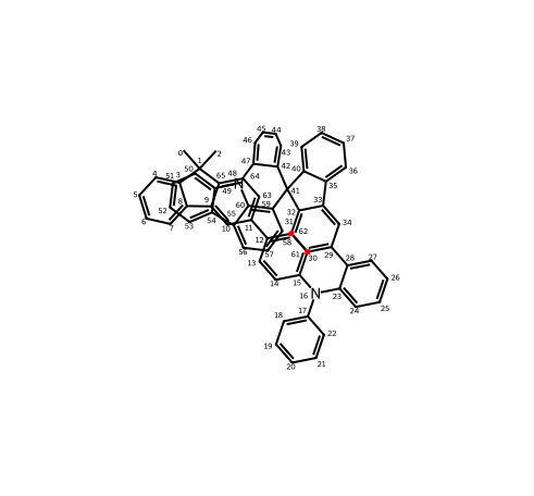 CC1(C)c2ccccc2-c2cc(-c3ccc(N(c4ccccc4)c4ccccc4-c4ccc5c(c4)-c4ccccc4C54c5ccccc5-n5c6ccccc6c6cccc4c65)cc3)ccc21